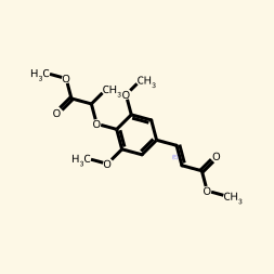 COC(=O)/C=C/c1cc(OC)c(OC(C)C(=O)OC)c(OC)c1